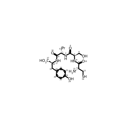 CC(C)[C@H](NC(=O)[C@@H](CO)NC(=O)[C@@H](N)CS)C(=O)N[C@@H](Cc1ccc(O)cc1)C(=O)O